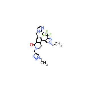 CCn1cc(CN2CCc3c(cc(Cn4ccnc4C)cc3-c3cn(CC)nc3C(F)(F)F)C2=O)nn1